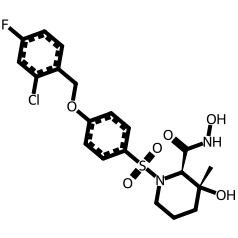 C[C@@]1(O)CCCN(S(=O)(=O)c2ccc(OCc3ccc(F)cc3Cl)cc2)[C@H]1C(=O)NO